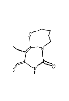 Cc1c2n(c(=O)[nH]c1=O)CCCS2